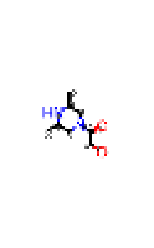 CC1CN(C(=O)C[O])CC(C)N1